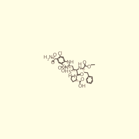 CCOC(=O)[C@H](CCc1ccccc1)NC(C(=O)N1CCC[C@H]1C(=O)O)[C@@H](S)C[C@@H]1Nc2cc(Cl)c(S(N)(=O)=O)cc2S(=O)(=O)N1